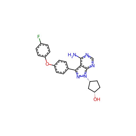 Nc1ncnc2c1c(-c1ccc(Oc3ccc(F)cc3)cc1)nn2[C@@H]1CC[C@H](O)C1